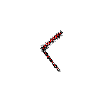 CCC1=CC(=O)CC=[PH]1CC.O=C1C=CP=CC1.O=C1C=CP=CC1.O=C1C=CP=CC1.O=C1C=CP=CC1.O=C1C=CP=CC1.O=C1C=CP=CC1.O=C1C=CP=CC1.O=C1C=CP=CC1.O=C1C=CP=CC1.O=C1C=CP=CC1.O=C1C=CP=CC1.O=C1C=CP=CC1.O=C1C=CP=CC1.O=C1C=CP=CC1.O=C1C=CP=CC1.O=C1C=CP=CC1.O=C1C=CP=CC1